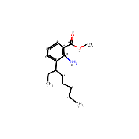 CCCCCC(CC)c1cccc(C(=O)OC)c1N